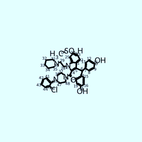 CS(=O)(=O)O.O=C(c1c(C(c2ccc(O)cc2)c2ccc(O)cc2)c2ccccc2n1CCN1CCCCC1)N1CCN(c2ccccc2Cl)CC1